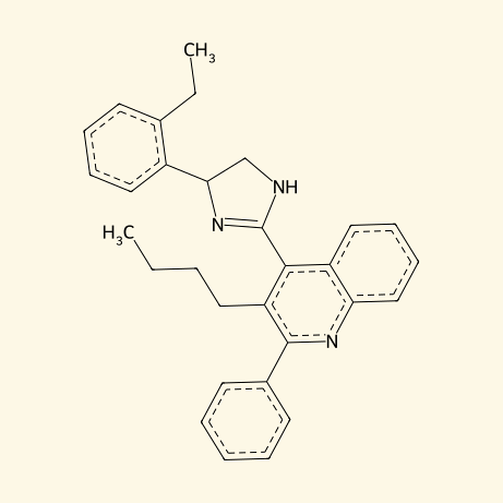 CCCCc1c(-c2ccccc2)nc2ccccc2c1C1=NC(c2ccccc2CC)CN1